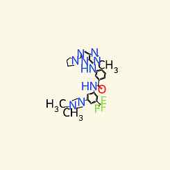 Cc1ccc(C(=O)Nc2cc(N3CCN(C(C)C)CC3)cc(C(F)(F)F)c2)cc1Nc1ncnc2cnc(N3CCCC3)nc12